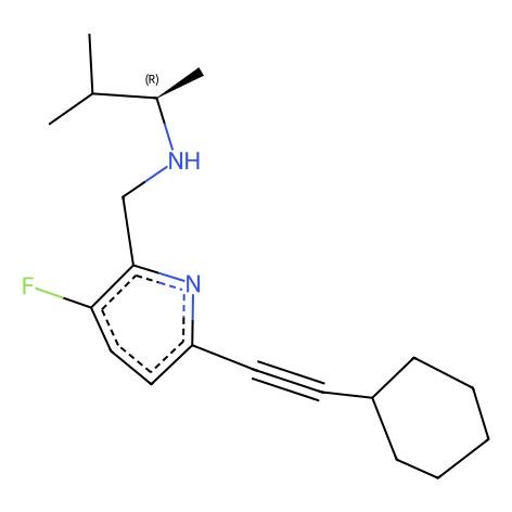 CC(C)[C@@H](C)NCc1nc(C#CC2CCCCC2)ccc1F